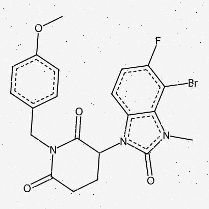 COc1ccc(CN2C(=O)CCC(n3c(=O)n(C)c4c(Br)c(F)ccc43)C2=O)cc1